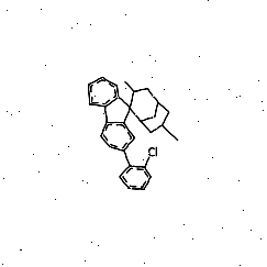 CC1CC2CC(C)C3(c4ccccc4-c4ccc(-c5ccccc5Cl)cc43)C(C1)C2